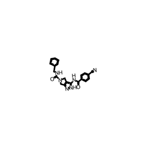 N#Cc1ccc(C(=O)Nc2[nH]nc3c2CN(C(=O)NCc2ccccc2)C3)cc1